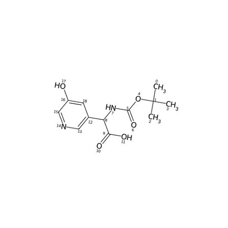 CC(C)(C)OC(=O)NC(C(=O)O)c1cncc(O)c1